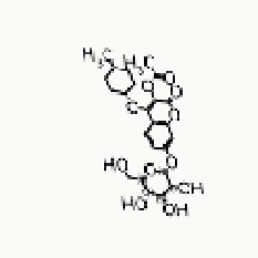 CC(=O)Oc1c(O[C@H]2CC[C@H](C)CC2)c2ccc(O[C@H]3O[C@H](CO)[C@@H](O)[C@H](O)[C@@H]3O)cc2oc1=O